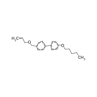 C=CCOCc1ccc(-c2ccc(OCCCCC)cc2)cc1